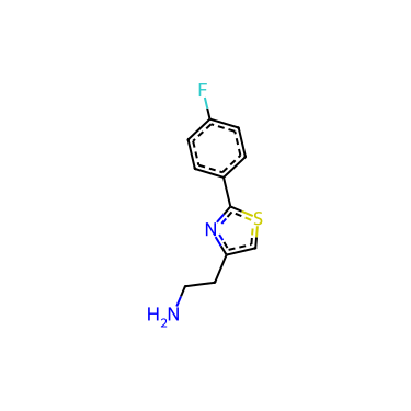 NCCc1csc(-c2ccc(F)cc2)n1